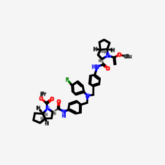 C=C(OC(C)(C)C)N1[C@H](C(=O)Nc2ccc(CN(Cc3ccc(NC(=O)[C@@H]4C[C@@H]5CCC[C@@H]5N4C(=O)OC(C)C)cc3)c3ccc(F)cc3)cc2)C[C@@H]2CCC[C@@H]21